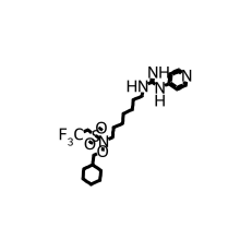 N=C(NCCCCCCCN(OCC1CCCCC1)S(=O)(=O)CC(F)(F)F)Nc1ccncc1